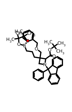 CC(C)(C)OC(=O)C1N(C2(c3ccccc3)c3ccccc3-c3ccccc32)CC1(CCCB1OC(C)(C)C(C)(C)O1)COCc1ccccc1